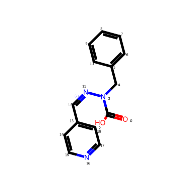 O=C(O)N(Cc1ccccc1)/N=C\c1ccncc1